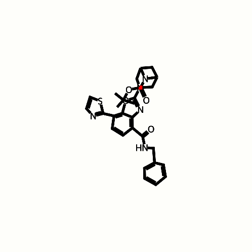 CC(C)(C)OC(=O)N1C2CC1CN(c1nc3c(C(=O)NCc4ccccc4)ccc(-c4nccs4)c3o1)C2